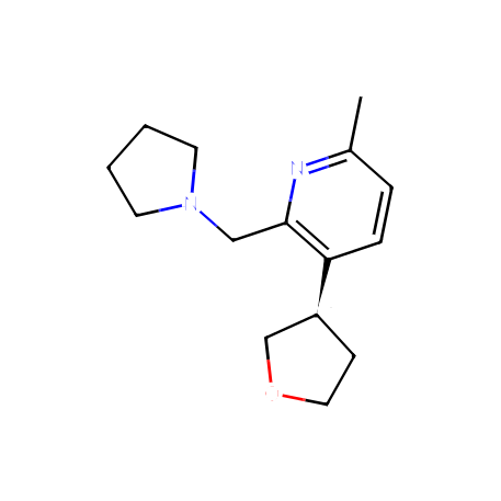 Cc1ccc([C@H]2CCOC2)c(CN2CCCC2)n1